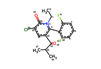 CCn1c(-c2c(F)cccc2F)c(C(=O)C(C)C)cc(Cl)c1=O